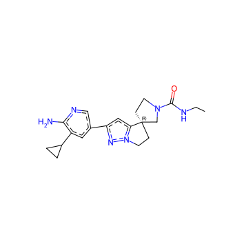 CCNC(=O)N1CC[C@@]2(CCn3nc(-c4cnc(N)c(C5CC5)c4)cc32)C1